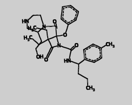 CCCC(NC(=O)N1C(=O)C(CC)(CC)C1(Oc1ccccc1)C(=O)N1CCNCC1CCO)c1ccc(C)cc1